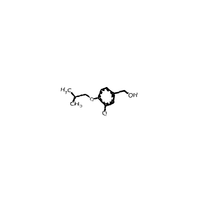 CC(C)COc1ccc(CO)cc1Cl